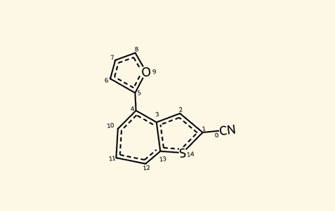 N#Cc1cc2c(-c3ccco3)cccc2s1